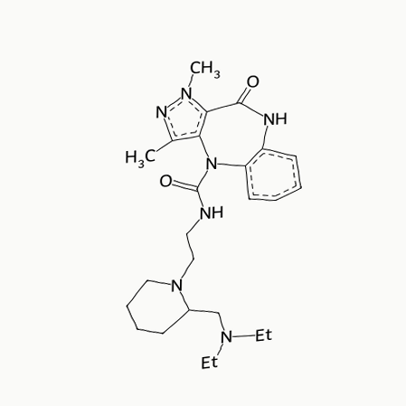 CCN(CC)CC1CCCCN1CCNC(=O)N1c2ccccc2NC(=O)c2c1c(C)nn2C